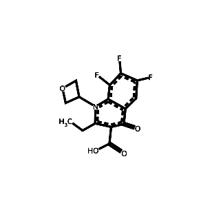 CCc1c(C(=O)O)c(=O)c2cc(F)c(F)c(F)c2n1C1COC1